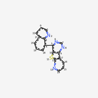 c1cnc2c(-c3ncnc4c3sc3ncccc34)cccc2c1